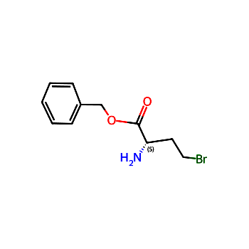 N[C@@H](CCBr)C(=O)OCc1ccccc1